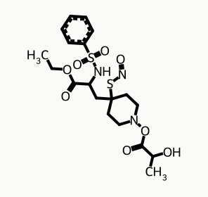 CCOC(=O)C(CC1(SN=O)CCN(OC(=O)C(C)O)CC1)NS(=O)(=O)c1ccccc1